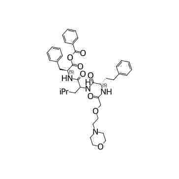 CC(C)CC(NC(=O)[C@H](CCc1ccccc1)NC(=O)COCCN1CCOCC1)C(=O)N[C@@H](Cc1ccccc1)C(=O)OC(=O)c1ccccc1